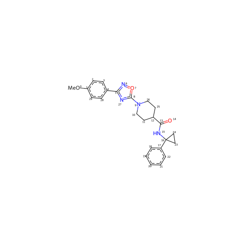 COc1ccc(-c2noc(N3CCC(C(=O)NC4(c5ccccc5)CC4)CC3)n2)cc1